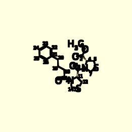 COC(=O)[C@@H]1CSCN1C(=O)[C@@H]1CSCN1C(=O)CCCc1ccccc1